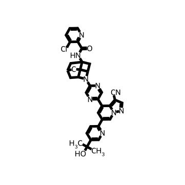 CC(C)(O)c1ccc(-c2cc(-c3cnc(N4C5CC6CC7(NC(=O)c8ncccc8Cl)CC4C57C6)cn3)c3c(C#N)cnn3c2)nc1